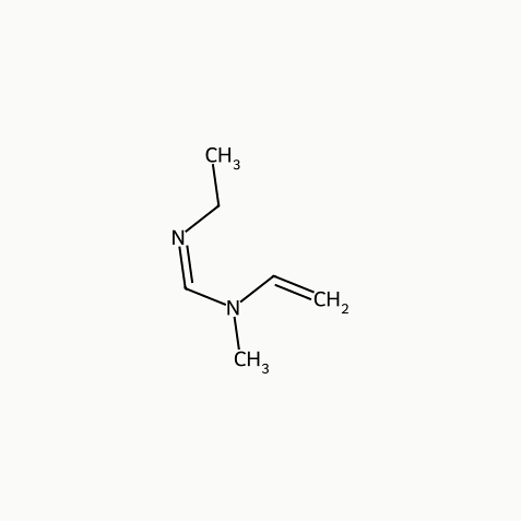 C=CN(C)/C=N\CC